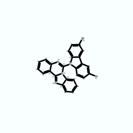 Brc1ccc2c(c1)c1cc(Br)ccc1n2-c1nc2ccccc2c2nc3ccccc3n12